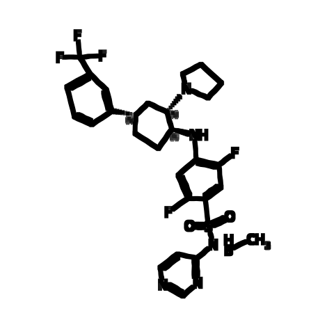 CBN(c1ccncn1)S(=O)(=O)c1cc(F)c(N[C@H]2CC[C@H](c3cccc(C(F)(F)F)c3)C[C@@H]2N2CCCC2)cc1F